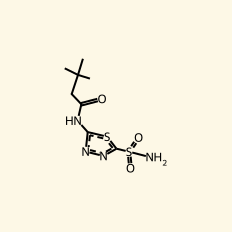 CC(C)(C)CC(=O)Nc1nnc(S(N)(=O)=O)s1